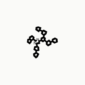 c1ccc(-c2ccc(-c3cc(-c4cc(-c5cccc(-c6ccccc6)c5)cc(-c5cccc(-c6ccccc6)c5)c4)nc(-c4cccc5ccccc45)n3)cc2)cc1